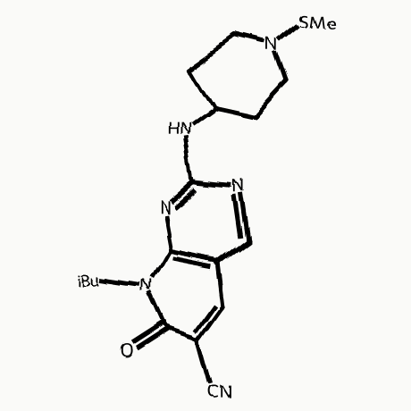 CCC(C)n1c(=O)c(C#N)cc2cnc(NC3CCN(SC)CC3)nc21